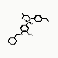 CCc1ccc(N(CC(C)C)S(=O)(=O)c2ccc(NCC3CCSCC3)c(N)c2)cc1